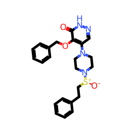 O=c1[nH]ncc(N2CCN([S@+]([O-])CCc3ccccc3)CC2)c1OCc1ccccc1